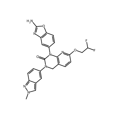 Cn1cc2cc(N3Cc4ccc(OCC(F)F)nc4N(c4ccc5oc(N)nc5c4)C3=O)ccc2n1